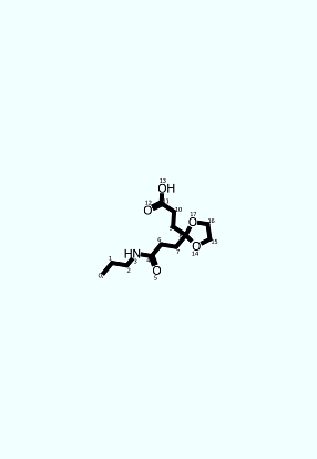 [CH2]CCNC(=O)CCC1(CCC(=O)O)OCCO1